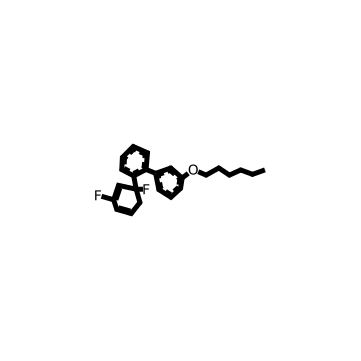 CCCCCCOc1cccc(-c2ccccc2C2(F)C=C(F)C=CC2)c1